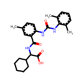 Cc1ccc(NC(=O)Nc2c(C)cccc2C)c(C(=O)NC(C(=O)O)C2CCCCC2)c1